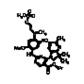 COc1cc(N(C)CCOS(C)(=O)=O)c([N+](=O)[O-])cc1Nc1ncc(C(=O)OC(C)C)c(N2CC(C)(C)c3nc(C)ccc32)n1